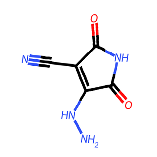 N#CC1=C(NN)C(=O)NC1=O